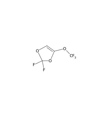 FC(F)(F)OC1=COC(F)(F)O1